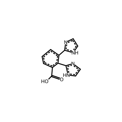 O=C(O)c1cccc(-c2ncc[nH]2)c1-c1ncc[nH]1